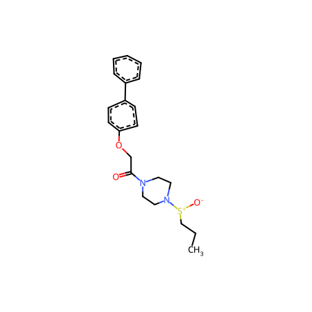 CCC[S+]([O-])N1CCN(C(=O)COc2ccc(-c3ccccc3)cc2)CC1